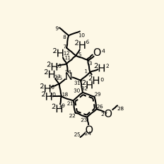 [2H]C1([2H])C(=O)C([2H])(CC(C)C)C([2H])([2H])N2C([2H])([2H])C([2H])([2H])c3cc(OC)c(OC)cc3C21[2H]